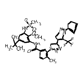 COc1c(NC(=O)c2ccc(C)c(-n3cc(-c4cnn(-c5ccccc5)c4C(F)(F)F)nn3)c2)cc(C(C)(C)C)cc1NS(C)(=O)=O